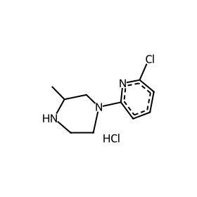 CC1CN(c2cccc(Cl)n2)CCN1.Cl